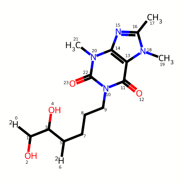 [2H]C(O)C(O)C([2H])CCCn1c(=O)c2c(nc(C)n2C)n(C)c1=O